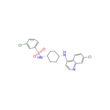 O=S(=O)(N[C@H]1CC[C@@H](Nc2ccnc3cc(Cl)ccc23)CC1)c1cccc(Cl)c1